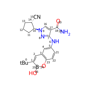 CC(C)(C)C1=Cc2cc(Nc3nn([C@H]4CCC[C@@H]4C#N)cc3C(N)=O)ccc2OB1O